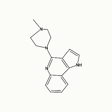 CN1CCN(c2nc3ccccc3c3[nH]ccc23)CC1